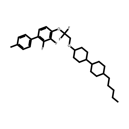 CCCCCC1CCC(C2CCC(OCC(F)(F)Oc3ccc(-c4ccc(C)cc4)c(F)c3F)CC2)CC1